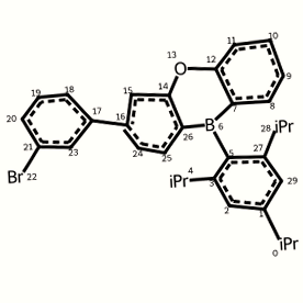 CC(C)c1cc(C(C)C)c(B2c3ccccc3Oc3cc(-c4cccc(Br)c4)ccc32)c(C(C)C)c1